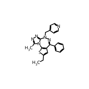 CCc1cc2c(s1)-n1c(C)nnc1N(Cc1ccncc1)N=C2c1ccccc1